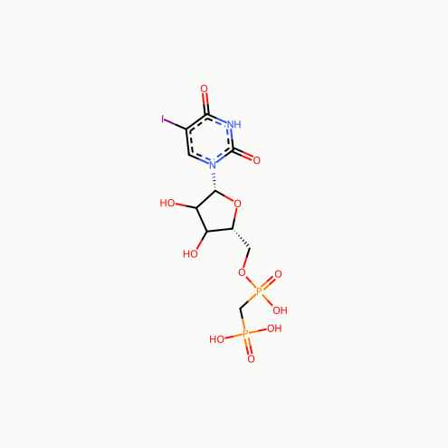 O=c1[nH]c(=O)n([C@@H]2O[C@H](COP(=O)(O)CP(=O)(O)O)C(O)C2O)cc1I